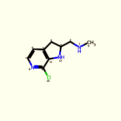 CNCC1Cc2ccnc(Cl)c2N1